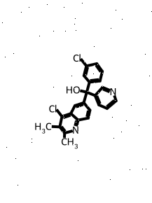 Cc1nc2ccc(C(O)(c3cccnc3)c3cccc(Cl)c3)cc2c(Cl)c1C